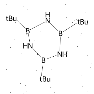 CC(C)(C)B1NB(C(C)(C)C)NB(C(C)(C)C)N1